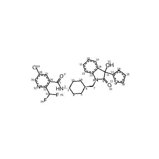 O=C(N[C@H]1CC[C@H](CN2C(=O)C(O)(c3cccs3)c3ccccc32)CC1)c1cc(Cl)cnc1C(F)F